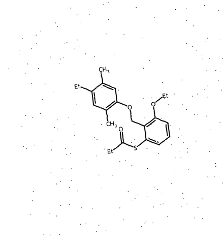 CCOc1cccc(SC(=O)CC)c1COc1cc(C)c(CC)cc1C